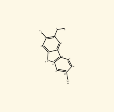 CCc1cc2c(cc1I)sc1cc(Cl)ccc12